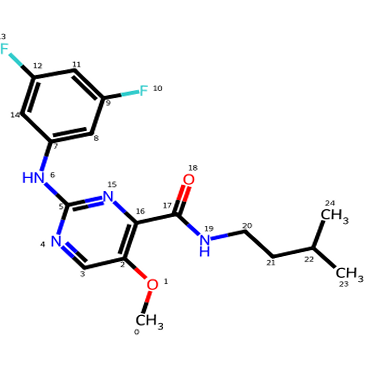 COc1cnc(Nc2cc(F)cc(F)c2)nc1C(=O)NCCC(C)C